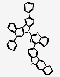 c1ccc(-c2ccc3c(c2)c2c4ccccc4c(-c4ccccc4)cc2n3-c2nc(-c3ccc4sc5cc6ccccc6cc5c4c3)c3ccccc3n2)cc1